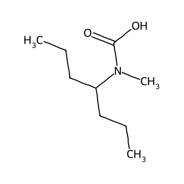 CCCC(CCC)N(C)C(=O)O